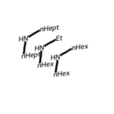 CCCCCCCNCCCCCCC.CCCCCCNCC.CCCCCCNCCCCCC